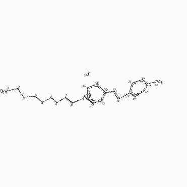 CCCCCCCCCCCCCCCCCC[n+]1ccc(C=Cc2ccc(OC(C)=O)cc2)cc1.[I-]